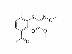 CO/N=C(/Sc1cc(C(C)=O)ccc1C)C(=O)OC